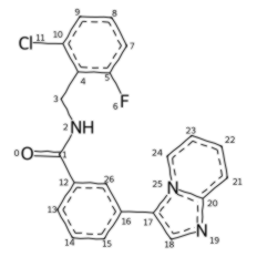 O=C(NCc1c(F)cccc1Cl)c1cccc(-c2cnc3ccccn23)c1